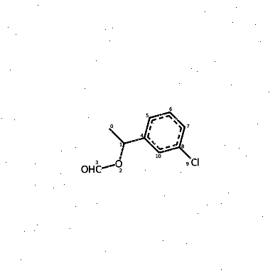 CC(OC=O)c1cccc(Cl)c1